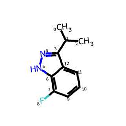 CC(C)c1n[nH]c2c(F)cccc12